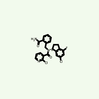 NC(=O)c1ccccc1CN(C(=O)c1cccnc1Cl)[C@@H]1CCc2c(F)cc(Cl)cc21